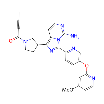 CC#CC(=O)N1CCC(c2nc(-c3ccc(Oc4cc(OC)ccn4)cn3)n3c(N)nccc23)C1